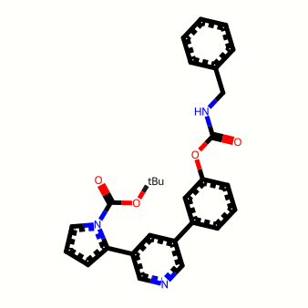 CC(C)(C)OC(=O)n1cccc1-c1cncc(-c2cccc(OC(=O)NCc3ccccc3)c2)c1